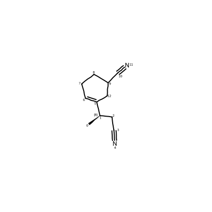 C[C@H](CC#N)C1=CCCC(C#N)C1